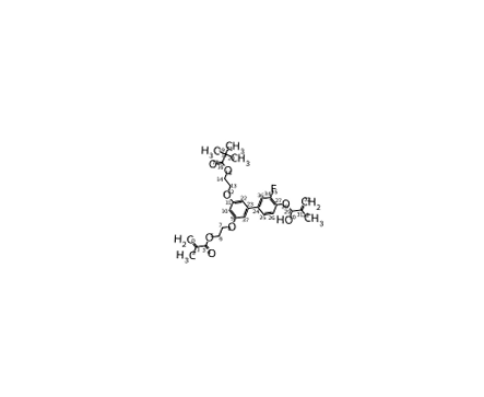 C=C(C)C(=O)OCCOc1cc(OCCOC(=O)C(C)(C)C)cc(-c2ccc(OC(O)C(=C)C)c(F)c2)c1